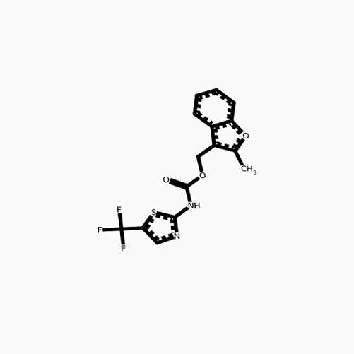 Cc1oc2ccccc2c1COC(=O)Nc1ncc(C(F)(F)F)s1